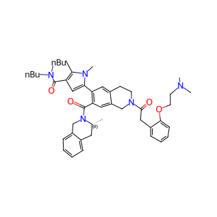 CCCCN(CCCC)C(=O)c1cc(-c2cc3c(cc2C(=O)N2Cc4ccccc4C[C@H]2C)CN(C(=O)Cc2ccccc2OCCN(C)C)CC3)n(C)c1C